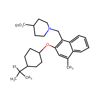 CCOC(=O)C1CCN(Cc2c(OC3CCC(C(C)(C)CC)CC3)cc(C)c3ccccc23)CC1